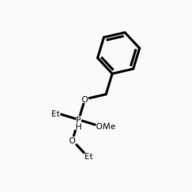 CCO[PH](CC)(OC)OCc1ccccc1